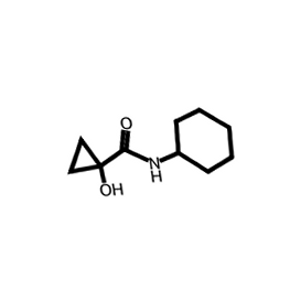 O=C(NC1CCCCC1)C1(O)CC1